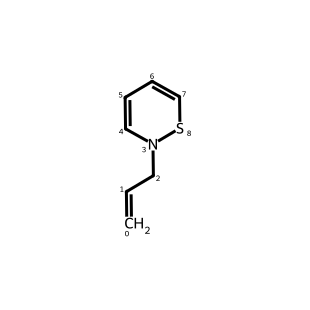 C=CCN1C=CC=CS1